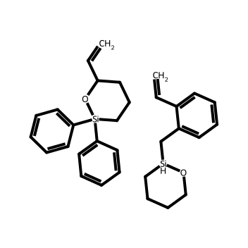 C=CC1CCC[Si](c2ccccc2)(c2ccccc2)O1.C=Cc1ccccc1C[SiH]1CCCCO1